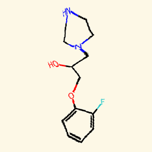 OC(COc1ccccc1F)CN1CCNCC1